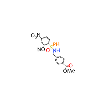 COC(=O)c1ccc(CNS(=O)(=P)c2ccc([N+](=O)[O-])cc2N=O)cc1